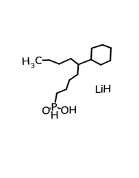 CCCCC(CCCC[PH](=O)O)C1CCCCC1.[LiH]